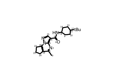 Cc1nc2c(C(=O)NC3CCC(C(C)(C)C)CC3)cnn2c2c1CCC2